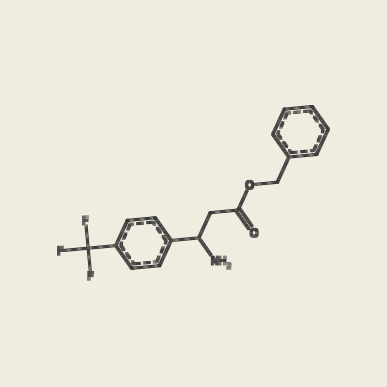 NC(CC(=O)OCc1ccccc1)c1ccc(C(F)(F)F)cc1